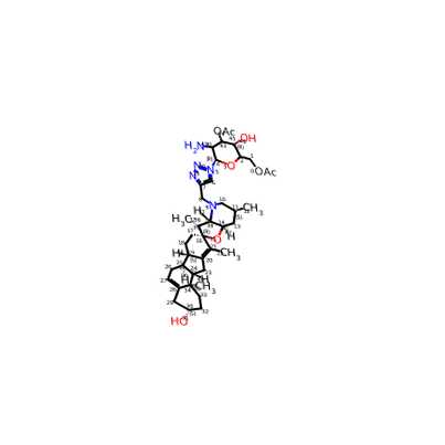 CC(=O)OCC1O[C@@H](n2cc(CN3C[C@@H](C)C[C@H]4O[C@]5(CC[C@@H]6C(=C5C)C[C@H]5[C@H]6CC=C6C[C@@H](O)CC[C@@]65C)[C@H](C)[C@@H]43)nn2)C(N)C(OC(C)=O)[C@H]1O